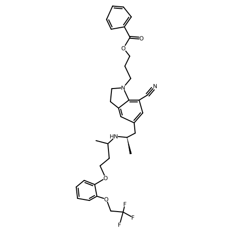 CC(CCOc1ccccc1OCC(F)(F)F)N[C@H](C)Cc1cc(C#N)c2c(c1)CCN2CCCOC(=O)c1ccccc1